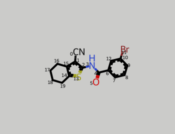 N#Cc1c(NC(=O)c2cccc(Br)c2)sc2c1CCCC2